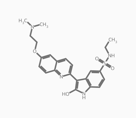 CCNS(=O)(=O)c1ccc2[nH]c(O)c(-c3ccc4cc(OCCN(C)C)ccc4n3)c2c1